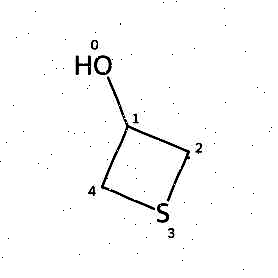 OC1[CH]SC1